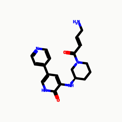 NCC=CC(=O)N1CCC[C@@H](Nc2cc(-c3ccncc3)c[nH]c2=O)C1